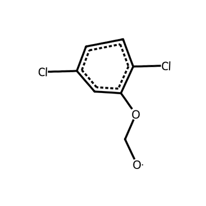 [O]COc1cc(Cl)ccc1Cl